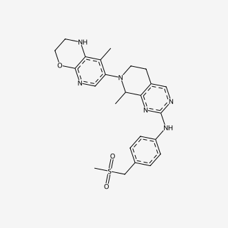 Cc1c(N2CCc3cnc(Nc4ccc(CS(C)(=O)=O)cc4)nc3C2C)cnc2c1NCCO2